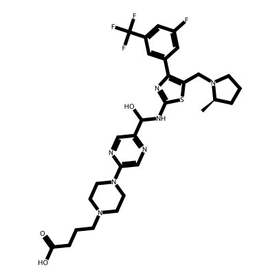 C[C@@H]1CCCN1Cc1sc(NC(O)c2cnc(N3CCN(CCCC(=O)O)CC3)cn2)nc1-c1cc(F)cc(C(F)(F)F)c1